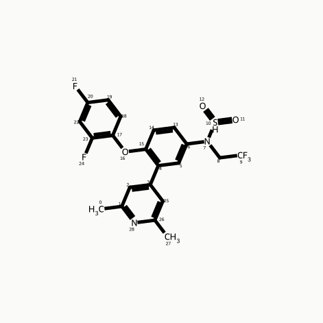 Cc1cc(-c2cc(N(CC(F)(F)F)[SH](=O)=O)ccc2Oc2ccc(F)cc2F)cc(C)n1